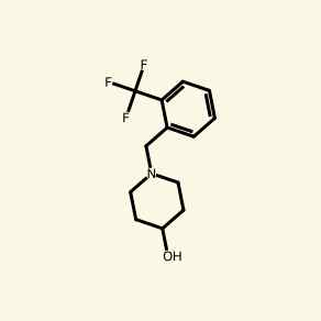 OC1CCN(Cc2ccccc2C(F)(F)F)CC1